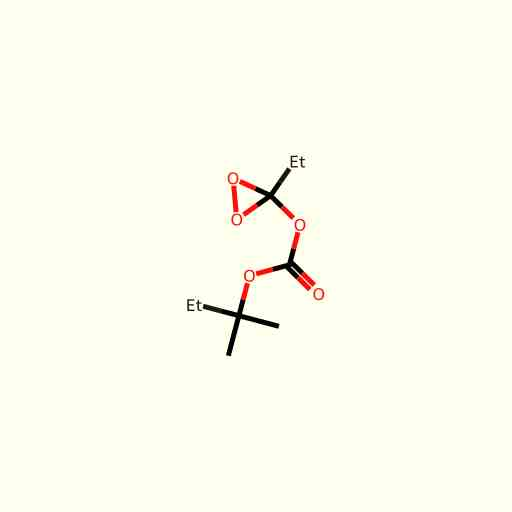 CCC(C)(C)OC(=O)OC1(CC)OO1